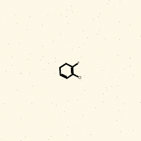 FC1=C(Cl)[C]=CC[CH]1